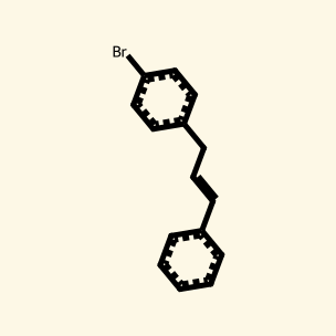 Brc1ccc(CC=Cc2ccccc2)cc1